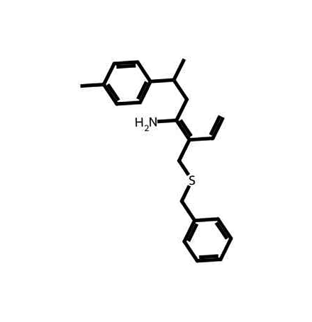 C=C/C(CSCc1ccccc1)=C(/N)CC(C)c1ccc(C)cc1